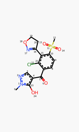 Cn1ncc(C(=O)c2ccc(S(C)(=O)=O)c(C3=NOCC3)c2Cl)c1O